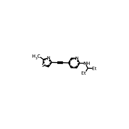 CCC(CC)Nc1ccc(C#Cc2csc(C)n2)cn1